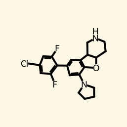 Fc1cc(Cl)cc(F)c1-c1cc2c(c(N3CCCC3)c1)OC1CCNCC21